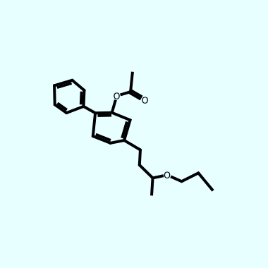 CCCOC(C)CCc1ccc(-c2ccccc2)c(OC(C)=O)c1